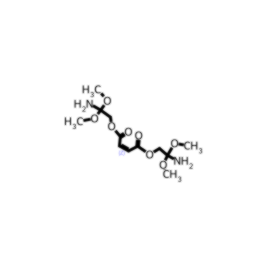 COC(N)(COC(=O)/C=C\C(=O)OCC(N)(OC)OC)OC